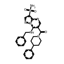 NS(=O)(=O)c1cnn2c(NCc3ccccc3)c(C(=O)N3CCC(c4ccccc4)CC3)cnc12